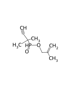 C#CC(C)(C)[PH](=O)OCC(=C)C